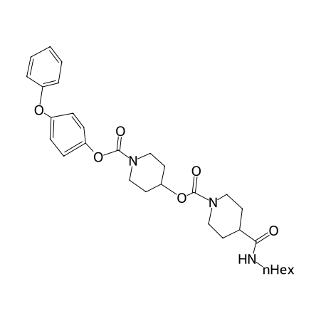 CCCCCCNC(=O)C1CCN(C(=O)OC2CCN(C(=O)Oc3ccc(Oc4ccccc4)cc3)CC2)CC1